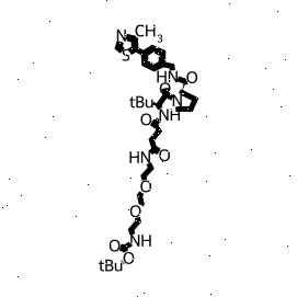 Cc1ncsc1-c1ccc(CNC(=O)[C@@H]2CCCN2C(=O)[C@@H](NC(=O)CCC(=O)NCCOCCOCCNC(=O)OC(C)(C)C)C(C)(C)C)cc1